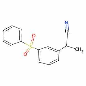 CC(C#N)c1cccc(S(=O)(=O)c2ccccc2)c1